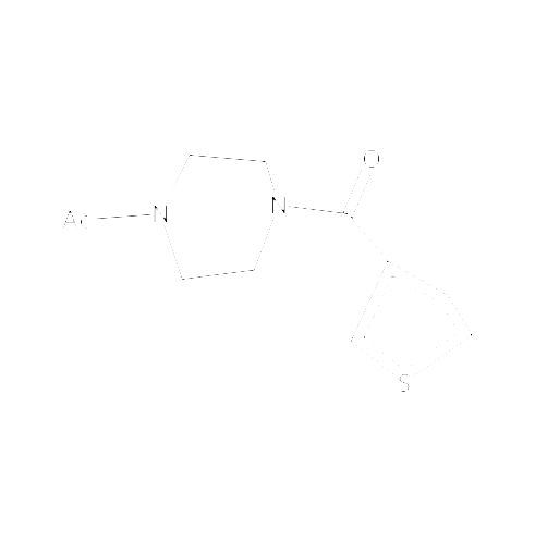 CC(=O)N1CCN(C(=O)c2ccsc2)CC1